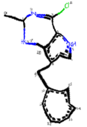 CC1N=C(Cl)c2[nH]cc(Cc3ccccc3)c2N1